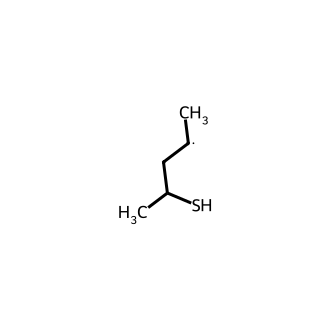 C[CH]CC(C)S